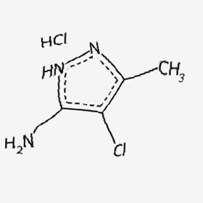 Cc1n[nH]c(N)c1Cl.Cl